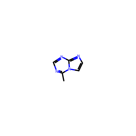 Cc1ncnc2nccn12